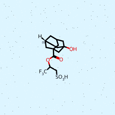 O=C(OC(CS(=O)(=O)O)C(F)(F)F)C12CC3C[C@H](CC(O)(C3)C1)C2